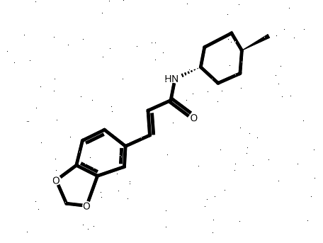 C[C@H]1CC[C@H](NC(=O)/C=C/c2ccc3c(c2)OCO3)CC1